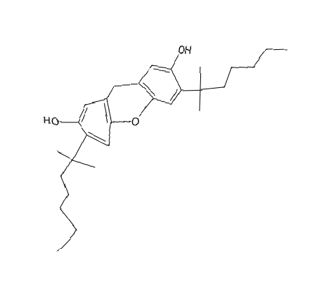 CCCCCC(C)(C)c1cc2c(cc1O)Cc1cc(O)c(C(C)(C)CCCCC)cc1O2